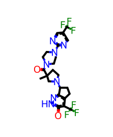 CC1(C(=O)N2CCN(c3ncc(C(F)(F)F)cn3)CC2)CCN(C2CCc3c2n[nH]c(=O)c3C(F)(F)F)C1